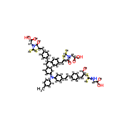 Cc1ccc(N(c2ccc(C=C(c3ccc(/C=C4\SC(=S)N(CC(=O)O)C4=O)cc3)c3ccc(/C=C4\SC(=S)N(CC(=O)O)C4=O)cc3)cc2)c2ccc(/C=C/c3ccc(/C=C(\C=O)SC(=S)NCC(=O)O)cc3)cc2)cc1